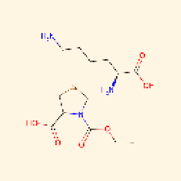 CCOC(=O)N1CSCC1C(=O)O.NCCCC[C@H](N)C(=O)O